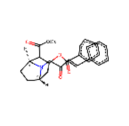 COC(=O)C1C(OC(=O)c2ccccc2)C[C@@H]2CC[C@@H]1N2CC(=O)C=Cc1ccccc1